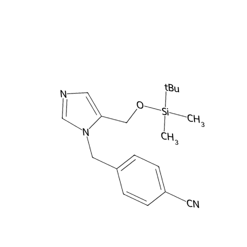 CC(C)(C)[Si](C)(C)OCc1cncn1Cc1ccc(C#N)cc1